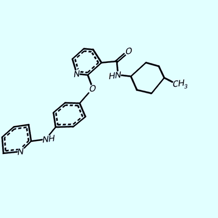 CC1CCC(NC(=O)c2cccnc2Oc2ccc(Nc3ccccn3)cc2)CC1